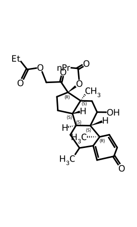 CCCC(=O)O[C@]1(C(=O)COC(=O)CC)CC[C@H]2[C@@H]3CC(C)C4=CC(=O)C=C[C@]4(C)[C@H]3C(O)C[C@@]21C